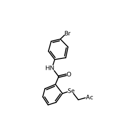 CC(=O)C[Se]c1ccccc1C(=O)Nc1ccc(Br)cc1